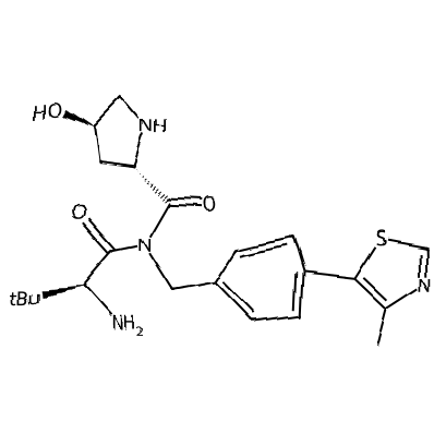 Cc1ncsc1-c1ccc(CN(C(=O)[C@@H]2C[C@@H](O)CN2)C(=O)[C@@H](N)C(C)(C)C)cc1